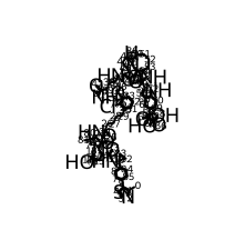 Cc1ncsc1-c1ccc(C2(NC(=O)[C@@H]3C[C@@H](O)CN3C(=O)[C@@H](NC(=O)CCCCc3cccc(OC[C@H](CCC(N)=O)NC(=O)[C@@H]4CC[C@@H]5CCCC[C@H](NC(=O)c6cc7cc(C(=O)P(=O)(O)O)ccc7[nH]6)C(=O)N54)c3Cl)C(C)(C)C)CC2)cc1